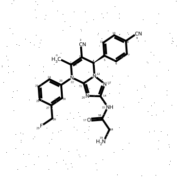 CC1=C(C#N)[C@@H](c2ccc(C#N)cc2)n2nc(NC(=O)CN)nc2N1c1cccc(CF)c1